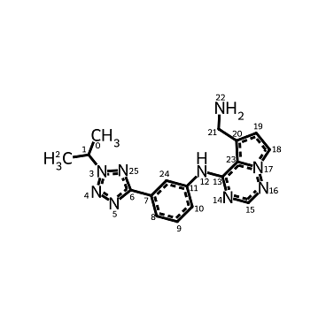 CC(C)n1nnc(-c2cccc(Nc3ncnn4ccc(CN)c34)c2)n1